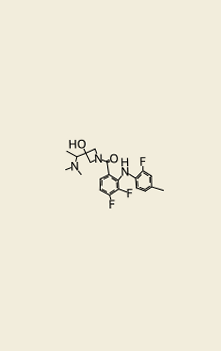 Cc1ccc(Nc2c(C(=O)N3CC(O)(C(C)N(C)C)C3)ccc(F)c2F)c(F)c1